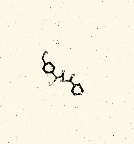 CC(C)Cc1ccc(C(C)C(=O)NC(=N)c2ccncc2)cc1